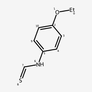 CCOc1ccc(NC=S)cc1